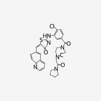 O=C1N=C(Nc2cc(C(=O)N3CCN(CC(=O)N4CCCC4)CC3)ccc2Cl)SC1=Cc1ccc2ncccc2c1